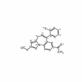 CC(=O)c1ccc2c(c1)C(c1ccccc1F)=NCc1nc(CCl)cn1-2